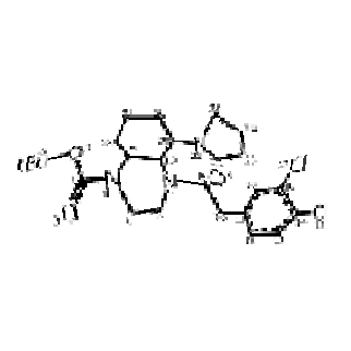 CC(C)(C)OC(=O)N1CCN(C(=O)Cc2ccc(Cl)c(Cl)c2)C2C(N3CCCC3)CCCC21